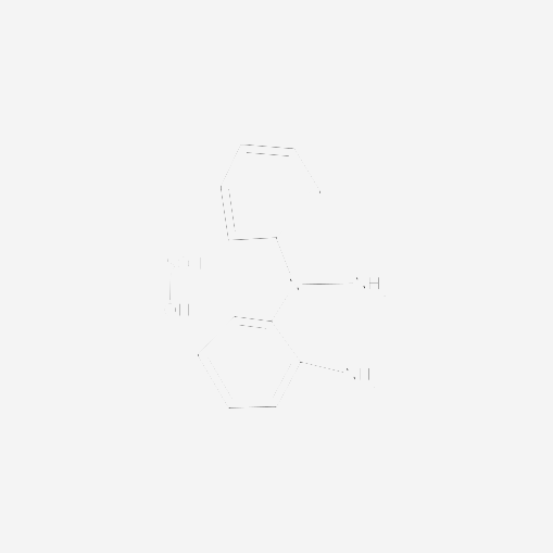 Nc1ccccc1N(N)c1ccccc1.O=S(=O)(O)O